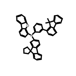 CC1(C)c2ccccc2-c2cccc(-c3cccc(N(c4ccc5c(c4)C4(CCCC4)c4ccccc4-5)c4cccc5c4oc4ccccc45)c3)c21